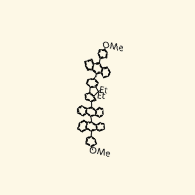 CCC1(CC)c2cc(-c3c4ccccc4c(-c4ccc(OC)cc4)c4ccccc34)ccc2-c2ccc(-c3c4ccccc4c(-c4c5ccccc5c(-c5ccc(OC)cc5)c5ccccc45)c4ccccc34)cc21